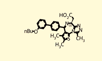 CCCCOc1cccc(-c2ccc(C3=N[C@@H](CC(=O)O)c4nnc(C)n4-c4sc(C)c(C)c43)cc2)c1